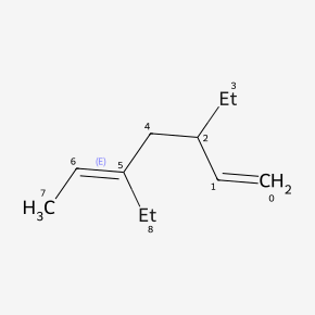 C=CC(CC)C/C(=C/C)CC